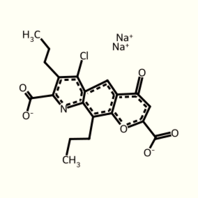 CCCc1c(C(=O)[O-])nc2c(CCC)c3oc(C(=O)[O-])cc(=O)c3cc2c1Cl.[Na+].[Na+]